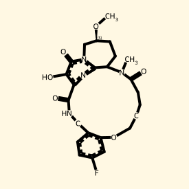 CO[C@H]1CCC2c3nc(c(O)c(=O)n3C1)C(=O)NCc1ccc(F)cc1OCCCCC(=O)N2C